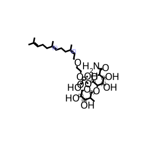 CC(C)=CCC/C(C)=C/CC/C(C)=C\COCCOP(=O)(O)O[C@H]1OC(C(N)=O)[C@H](O)[C@H](O)C1O[C@@H]1OC(O)[C@@H](O)[C@H](O)C1C